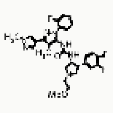 COCCN1C[C@@H](NC(=O)Nc2c(C)c(-c3cnn(C)c3)nn2-c2ccccc2F)[C@H](c2ccc(F)c(F)c2)C1